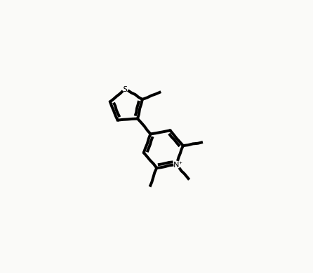 Cc1sccc1-c1cc(C)[n+](C)c(C)c1